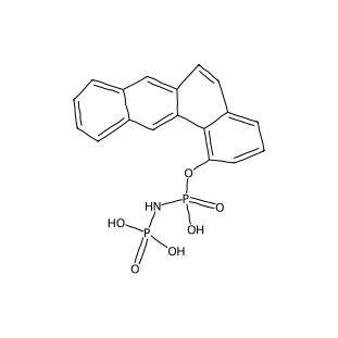 O=P(O)(O)NP(=O)(O)Oc1cccc2ccc3cc4ccccc4cc3c12